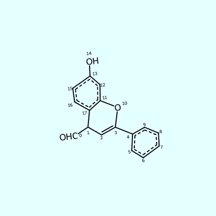 O=CC1C=C(c2ccccc2)Oc2cc(O)ccc21